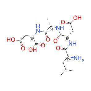 CC(C)C[C@H](N)C(=O)N[C@@H](CC(=O)O)C(=O)N[C@@H](C)C(=O)N[C@@H](CC(=O)O)C(=O)O